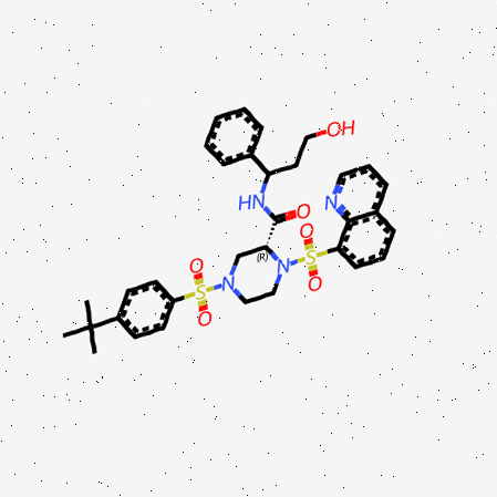 CC(C)(C)c1ccc(S(=O)(=O)N2CCN(S(=O)(=O)c3cccc4cccnc34)[C@@H](C(=O)NC(CCO)c3ccccc3)C2)cc1